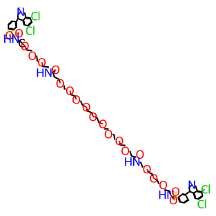 CN1Cc2c(Cl)cc(Cl)cc2C(c2cccc(S(=O)(=O)NCCOCCOCCOCCNC(=O)CCOCCOCCOCCOCCOCCOCCOCCOCCOCCC(=O)NCCOCCOCCOCCNS(=O)(=O)c3cccc(C4CN(C)Cc5c(Cl)cc(Cl)cc54)c3)c2)C1